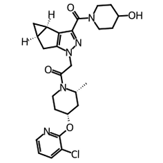 C[C@@H]1C[C@H](Oc2ncccc2Cl)CCN1C(=O)Cn1nc(C(=O)N2CCC(O)CC2)c2c1C[C@H]1C[C@@H]21